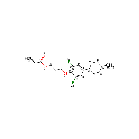 C=CC(=O)OCCCOc1c(F)cc(C2CCC(C)CC2)cc1F